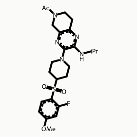 COc1ccc(S(=O)(=O)C2CCN(c3nc4c(nc3NC(C)C)CCN(C(C)=O)C4)CC2)c(F)c1